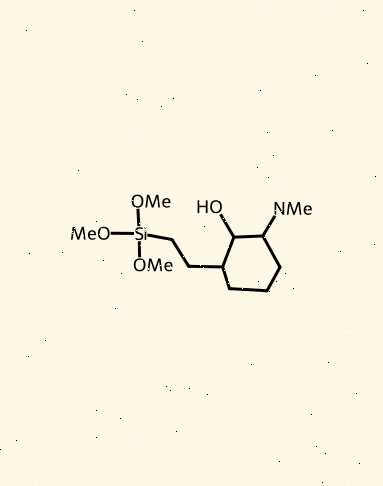 CNC1CCCC(CC[Si](OC)(OC)OC)C1O